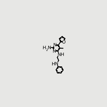 Cc1c(NCCNc2ccccc2)nc(N)nc1-c1ccco1